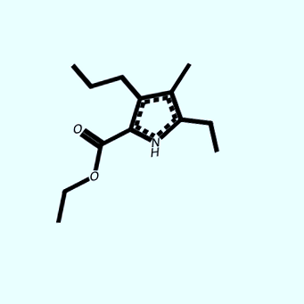 CCCc1c(C(=O)OCC)[nH]c(CC)c1C